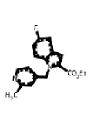 CCOC(=O)c1cc2cc(F)ccc2n1Cc1ccnc(C)c1